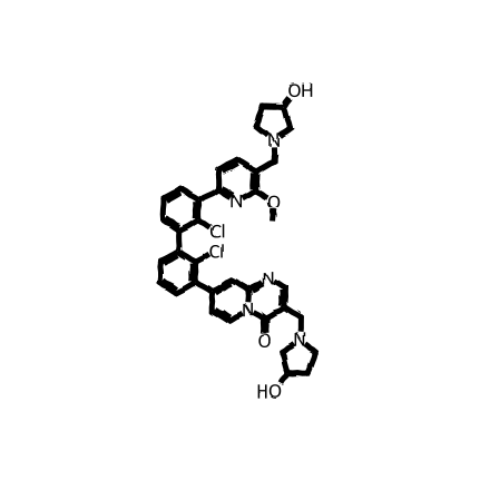 COc1nc(-c2cccc(-c3cccc(-c4ccn5c(=O)c(CN6CCC(O)C6)cnc5c4)c3Cl)c2Cl)ccc1CN1CCC(O)C1